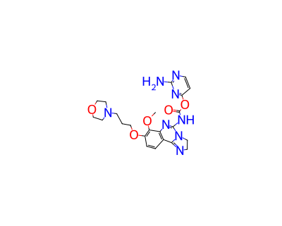 COc1c(OCCCN2CCOCC2)ccc2c1N=C(NC(=O)Oc1ccnc(N)n1)N1CCN=C21